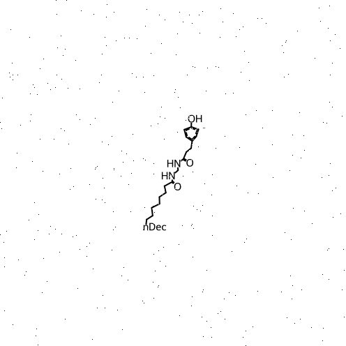 CCCCCCCCCCCCCCCCCC(=O)NCNC(=O)CCc1ccc(O)cc1